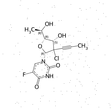 CC#CC1(Cl)[C@@H](O)[C@@H]([C@@H](C)O)O[C@H]1n1cc(F)c(=O)[nH]c1=O